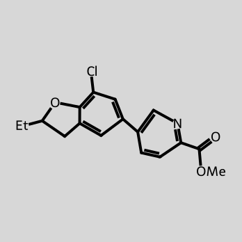 CCC1Cc2cc(-c3ccc(C(=O)OC)nc3)cc(Cl)c2O1